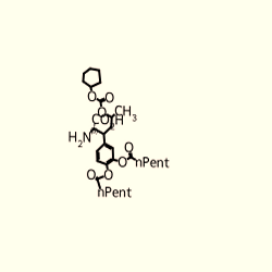 CCCCCC(=O)Oc1ccc(C(CC(C)OC(=O)OC2CCCCC2)[C@H](N)C(=O)O)cc1OC(=O)CCCCC